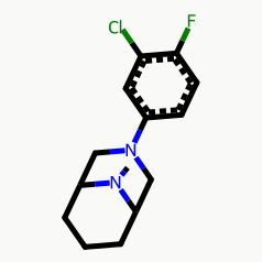 CN1C2CCCC1CN(c1ccc(F)c(Cl)c1)C2